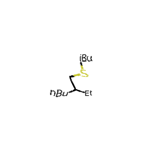 CCCCC(CC)CSC(C)CC